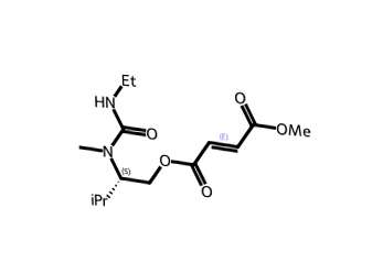 CCNC(=O)N(C)[C@H](COC(=O)/C=C/C(=O)OC)C(C)C